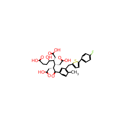 Cc1ccc(C(=O)[C@H](CC(=O)O)[C@@H](CC(=O)O)[C@@H](CC(=O)O)[C@H](O)CCC(=O)O)cc1Cc1ccc(-c2ccc(F)cc2)s1